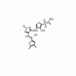 Cc1cc([C@H](Nc2n[s+]([O-])nc2Nc2csc(S(=O)(=O)N(C)C(C)(C)C)c2O)C(C)C)sc1C